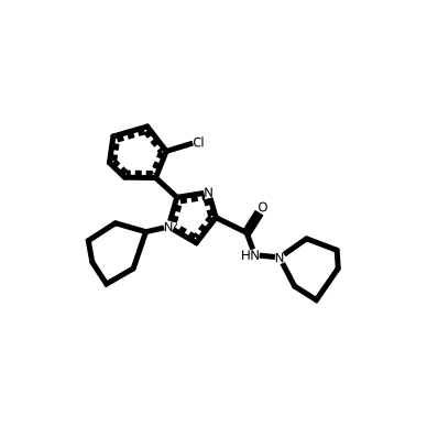 O=C(NN1CCCCC1)c1cn(C2CCCCC2)c(-c2ccccc2Cl)n1